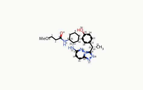 COCCC(=O)N[C@H]1CCCC[C@@H]1Nc1ccc2nnc([C@@H](C)c3ccc(O)cc3)n2n1